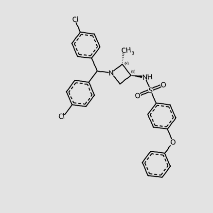 C[C@@H]1[C@@H](NS(=O)(=O)c2ccc(Oc3ccccc3)cc2)CN1C(c1ccc(Cl)cc1)c1ccc(Cl)cc1